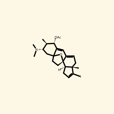 CC(=O)O[C@@H]1C2=CC3=CC[C@]4(C)C(I)=CC[C@H]4[C@@]34CCC2(C[C@H](N(C)C)[C@H]1C)O4